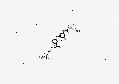 C[C@H](CCO)NC(=S)Nc1cc(F)c(Oc2ccnc3c2c(Cl)cn3COCC[Si](C)(C)C)c(F)c1